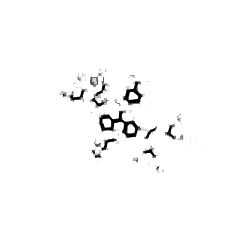 COCC(COC)OCC(COC(COC)COC)Oc1ccc2c(c1)c(C(=O)Oc1c(C)cc(C(=O)O)cc1C)c1cc(OC(COC(COC)COC)COC(COC)COC)ccc1[n+]2CCCS(=O)(=O)O